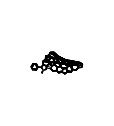 CN1CC23CC4CC5C=C6Cc7cc8c9c%10c%11c%12c%13c(c%14c2c4c2c(c4c(c6c7c9c4%11)C25)c%14%12)C(=CC2CC(C8)C%10C=%132)C3C1c1ccccc1